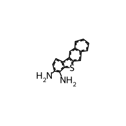 Nc1ccc2c(sc3cc4ccccc4cc32)c1N